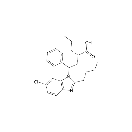 CCCCc1nc2ccc(Cl)cc2n1C(CC(CCC)C(=O)O)c1ccccc1